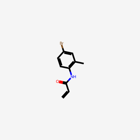 C=CC(=O)Nc1ccc(Br)cc1C